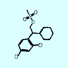 CS(=O)(=O)OCC(c1ccc(Cl)cc1Cl)C1CCCCC1